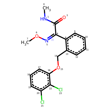 CNC(=O)/C(=N\OC)c1ccccc1COc1cccc(Cl)c1Cl